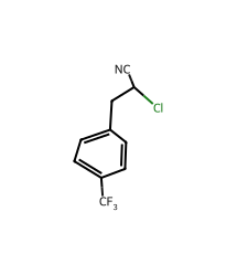 N#CC(Cl)Cc1ccc(C(F)(F)F)cc1